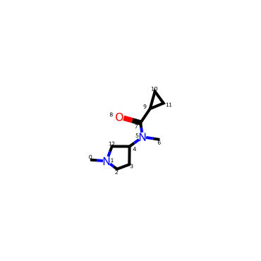 CN1CCC(N(C)C(=O)C2CC2)C1